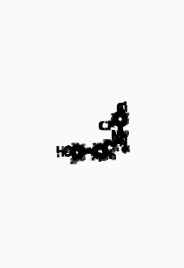 CCn1cc(-c2ccc(Cl)cc2Cl)nc1C=Cc1cc(-c2ccc(O)cc2)ccc1F